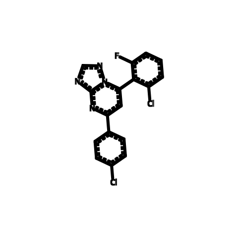 Fc1cccc(Cl)c1-c1cc(-c2ccc(Cl)cc2)nc2ncnn12